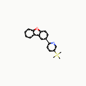 CS(C)(C)c1ccc(-c2ccc3oc4ccccc4c3c2)nc1